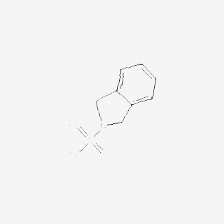 CCS(=O)(=O)N1Cc2ccccc2C1